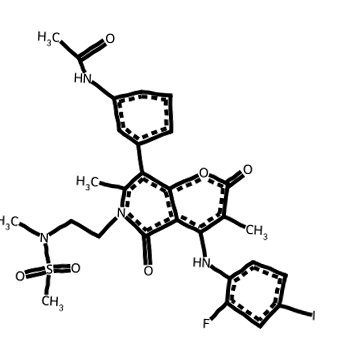 CC(=O)Nc1cccc(-c2c(C)n(CCN(C)S(C)(=O)=O)c(=O)c3c(Nc4ccc(I)cc4F)c(C)c(=O)oc23)c1